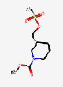 CCS(=O)(=O)OC[C@H]1CCCN(C(=O)OC(C)(C)C)C1